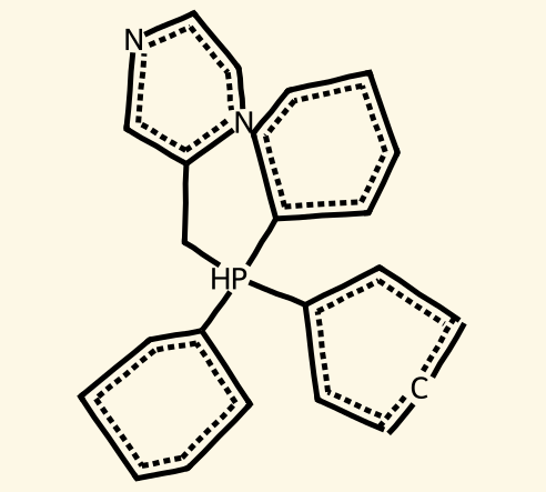 c1ccc([PH](Cc2cnccn2)(c2ccccc2)c2ccccc2)cc1